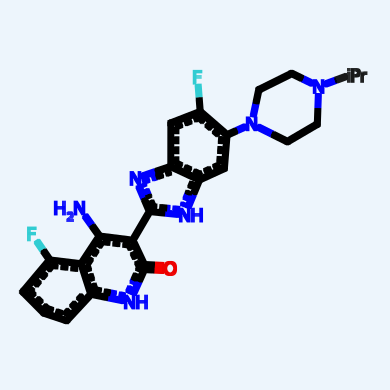 CC(C)N1CCN(c2cc3[nH]c(-c4c(N)c5c(F)cccc5[nH]c4=O)nc3cc2F)CC1